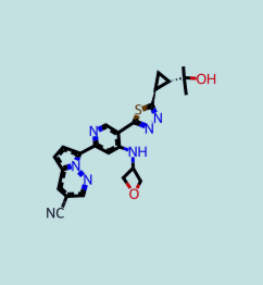 CC(C)(O)[C@H]1C[C@@H]1c1nnc(-c2cnc(-c3ccc4cc(C#N)cnn34)cc2NC2COC2)s1